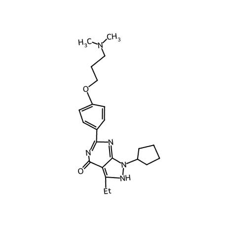 CCc1[nH]n(C2CCCC2)c2nc(-c3ccc(OCCCN(C)C)cc3)nc(=O)c1-2